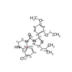 CCOc1cc(OC)ccc1C1=NC(CC(C)C)[C@H](c2ccc(Cl)cc2)N1C(=O)N1CCNCC1